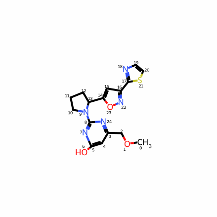 COCc1cc(O)nc(N2CCCC2c2cc(-c3nccs3)no2)n1